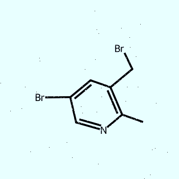 Cc1ncc(Br)cc1CBr